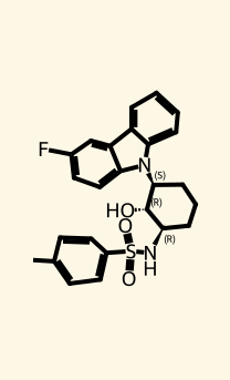 Cc1ccc(S(=O)(=O)N[C@@H]2CCC[C@H](n3c4ccccc4c4cc(F)ccc43)[C@H]2O)cc1